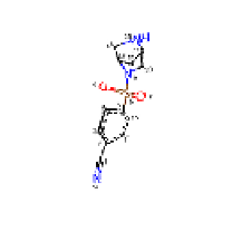 N#Cc1ccc(S(=O)(=O)N2CC3CC2CN3)cc1